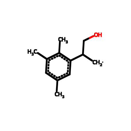 [CH2]C(CO)c1cc(C)cc(C)c1C